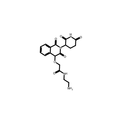 NCCNC(=O)COC1C(=O)N(C2CCC(=O)NC2=O)C(=O)c2ccccc21